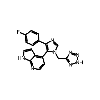 Fc1ccc(-c2ncn(Cc3nn[nH]n3)c2-c2ccnc3[nH]ccc23)cc1